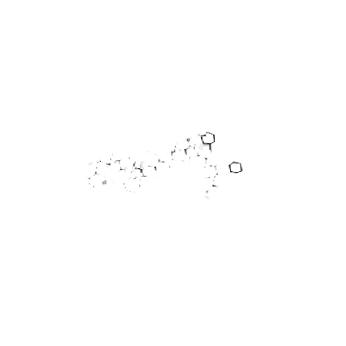 CC[C@H](C)[C@H](C)C(=O)N(C)[C@@H](Cc1ccccc1)C(=O)N(C)[C@@H](Cc1ccccc1)C(=O)N[C@H](C(=O)N(C)[C@@H](C)C(=O)N(C)[C@@H](CC(C)C)C(=O)N[C@@H](C(=O)N[C@H](C)C(=O)N(C)[C@@H](C)C(=O)N(C)[C@@H](CC(C)C)C(N)=O)C(=O)N1CCCCC1)[C@@H](C)O